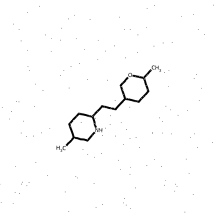 CC1CCC(CCC2CCC(C)OC2)NC1